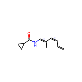 C=C/C=C\C(C)=C\NC(=O)C1CC1